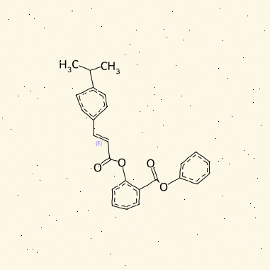 CC(C)c1ccc(/C=C/C(=O)Oc2ccccc2C(=O)Oc2ccccc2)cc1